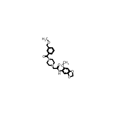 COCc1cccc(C(=O)N2CCN(CC(=O)Nc3cc4c(cc3OC)OCO4)CC2)c1